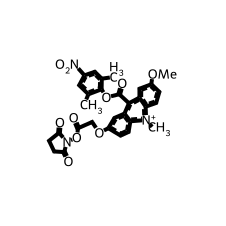 COc1ccc2c(c1)c(C(=O)Oc1c(C)cc([N+](=O)[O-])cc1C)c1cc(OCC(=O)ON3C(=O)CCC3=O)ccc1[n+]2C